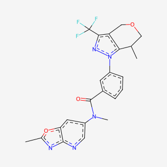 Cc1nc2ncc(N(C)C(=O)c3cccc(-n4nc(C(F)(F)F)c5c4C(C)COC5)c3)cc2o1